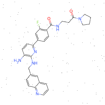 Nc1ccc(-c2ccc(C(=O)NCCC(=O)N3CCCC3)c(F)c2)nc1NCc1ccc2ncccc2c1